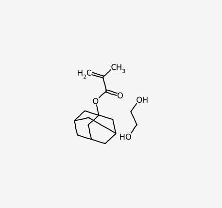 C=C(C)C(=O)OC12CC3CC(CC(C3)C1)C2.OCCO